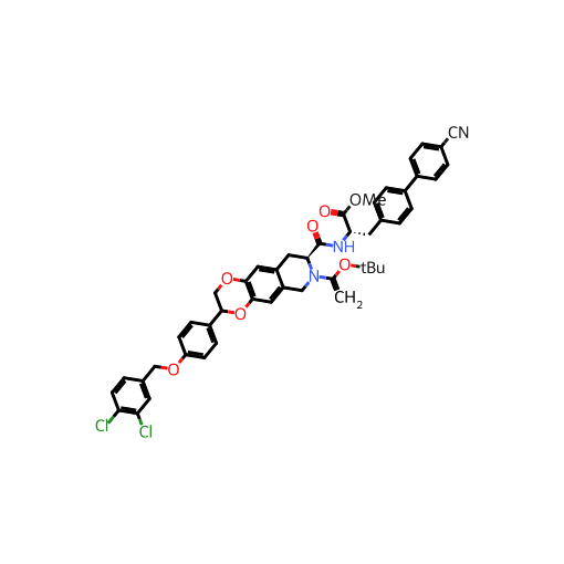 C=C(OC(C)(C)C)N1Cc2cc3c(cc2C[C@H]1C(=O)N[C@@H](Cc1ccc(-c2ccc(C#N)cc2)cc1)C(=O)OC)OCC(c1ccc(OCc2ccc(Cl)c(Cl)c2)cc1)O3